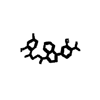 Cc1ccc(C(C)CCC(C)c2ccc(-c3ccc(C(C)C)c(Cl)c3)c3ccccc23)c(F)c1